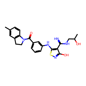 Cc1ccc2c(c1)CCN2C(=O)c1cccc(Nc2snc(O)c2C(=N)NCC(C)O)c1